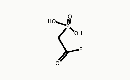 O=C(F)CP(=O)(O)O